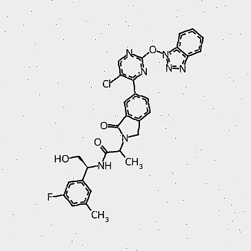 Cc1cc(F)cc([C@@H](CO)NC(=O)C(C)N2Cc3ccc(-c4nc(On5nnc6ccccc65)ncc4Cl)cc3C2=O)c1